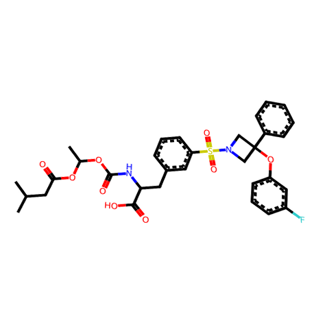 CC(C)CC(=O)OC(C)OC(=O)NC(Cc1cccc(S(=O)(=O)N2CC(Oc3cccc(F)c3)(c3ccccc3)C2)c1)C(=O)O